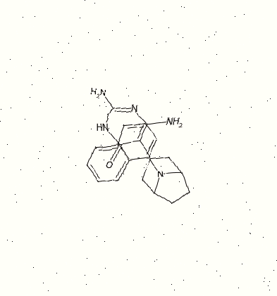 Nc1nc(N)c(C2CC3CCC(C2)N3c2cccc3ccccc23)c(=O)[nH]1